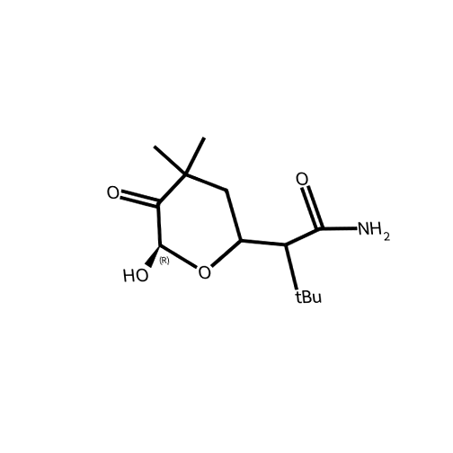 CC1(C)CC(C(C(N)=O)C(C)(C)C)O[C@@H](O)C1=O